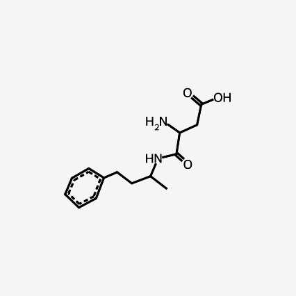 CC(CCc1ccccc1)NC(=O)C(N)CC(=O)O